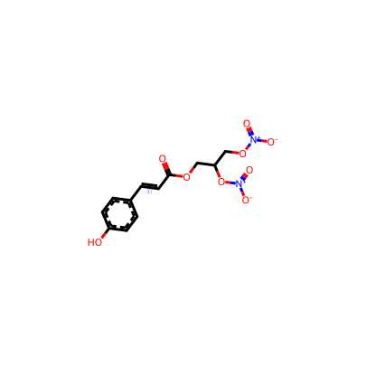 O=C(/C=C/c1ccc(O)cc1)OCC(CO[N+](=O)[O-])O[N+](=O)[O-]